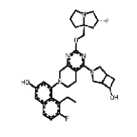 CCc1c(F)ccc2cc(O)cc(N3CCc4c(nc(OC[C@@]56CCCN5C[C@H](F)C6)nc4N4CC5CC(O)C5C4)C3)c12